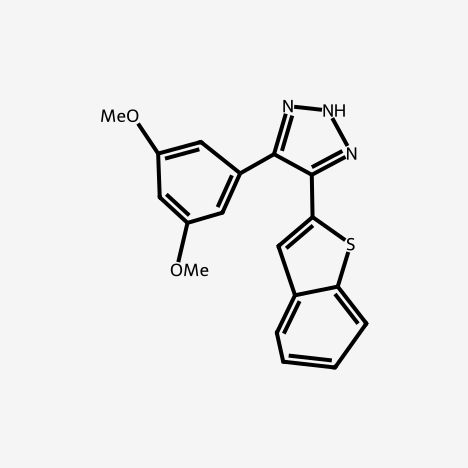 COc1cc(OC)cc(-c2n[nH]nc2-c2cc3ccccc3s2)c1